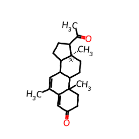 CC(=O)C1CCC2C3C=C(C)C4=CC(=O)CCC4(C)C3CC[C@]12C